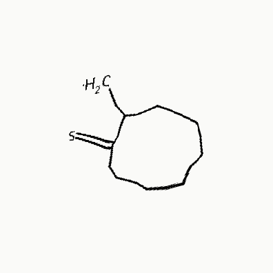 [CH2]C1CCCCCCC1=S